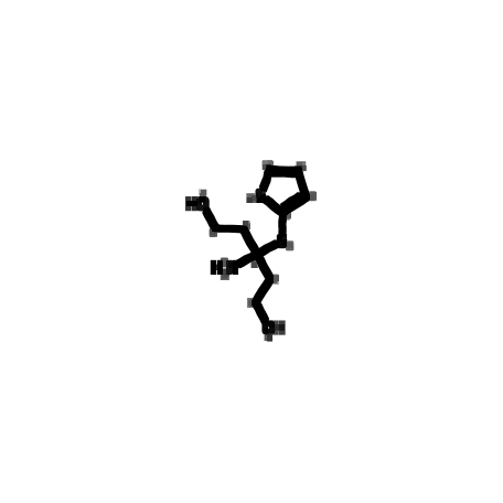 NC(CCO)(CCO)Sc1cccs1